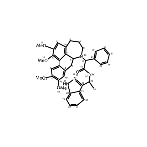 COc1ccc(CC2c3cc(OC)c(OC)cc3CCCN2C(C(=O)NC(C)c2n[nH]c3ccccc23)c2ccccc2)cc1OC